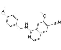 COc1ccc(CNc2nccc3cc(C#N)c(OC)cc23)cc1